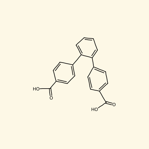 O=C(O)c1ccc(-c2ccccc2-c2ccc(C(=O)O)cc2)cc1